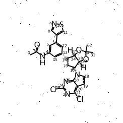 CC(=O)Nc1cc(-c2cnsc2)cc([C@H]2C[C@@H](n3ccc4c(Cl)nc(Cl)nc43)[C@@H]3OC(C)(C)O[C@@H]32)c1